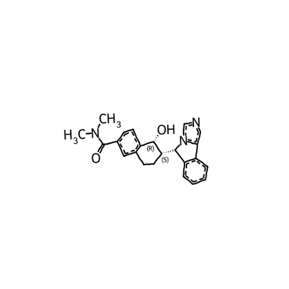 CN(C)C(=O)c1ccc2c(c1)CC[C@@H](C1c3ccccc3-c3cncn31)[C@H]2O